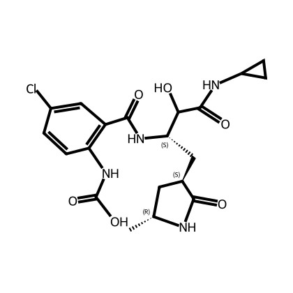 C[C@@H]1C[C@@H](C[C@H](NC(=O)c2cc(Cl)ccc2NC(=O)O)C(O)C(=O)NC2CC2)C(=O)N1